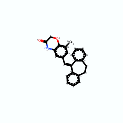 O=C1COc2c(cc(C=C3c4ccccc4CCc4ccccc43)cc2C(F)(F)F)N1